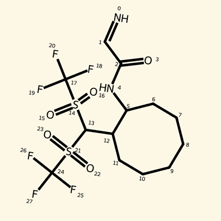 N=CC(=O)NC1CCCCCCC1C(S(=O)(=O)C(F)(F)F)S(=O)(=O)C(F)(F)F